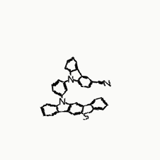 N#Cc1ccc2c(c1)c1ccccc1n2-c1cccc(-n2c3ccccc3c3cc4sc5ccccc5c4cc32)c1